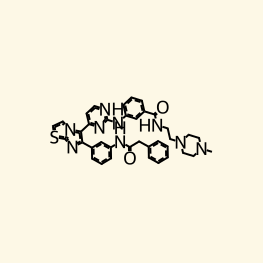 CN1CCN(CCNC(=O)c2cccc(Nc3nccc(-c4c(-c5cccc(NC(=O)Cc6ccccc6)c5)nc5sccn45)n3)c2)CC1